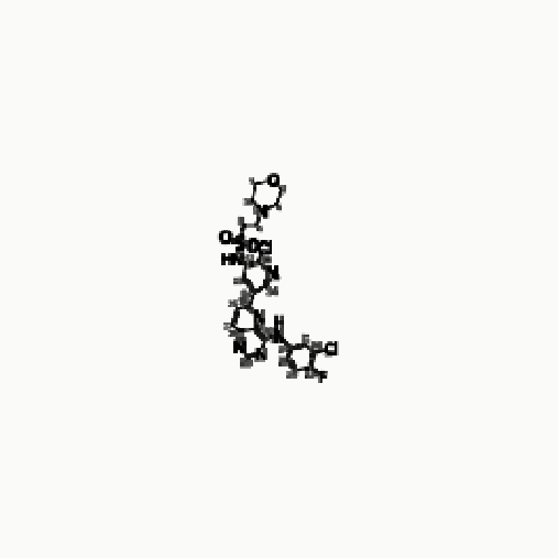 O=S(=O)(CCN1CCOCC1)Nc1cc(-c2ccc3ncnc(Nc4ccc(F)c(Cl)c4)c3n2)cnc1Cl